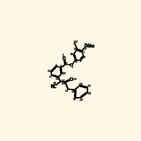 COc1ccc(OC(=O)c2cccc(C(C#N)C(=O)Cc3ccccc3)c2)cc1I